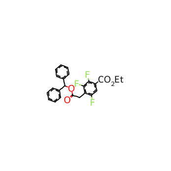 CCOC(=O)c1cc(F)c(CC(=O)OC(c2ccccc2)c2ccccc2)c(F)c1F